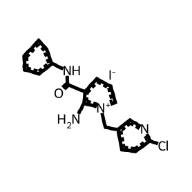 Nc1c(C(=O)Nc2ccccc2)ccc[n+]1Cc1ccc(Cl)nc1.[I-]